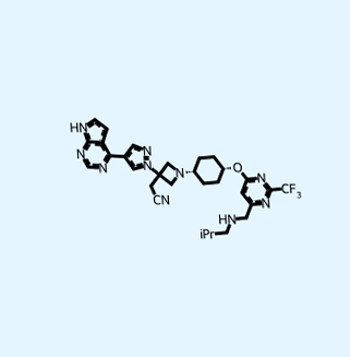 CC(C)CNCc1cc(O[C@H]2CC[C@@H](N3CC(CC#N)(n4cc(-c5ncnc6[nH]ccc56)cn4)C3)CC2)nc(C(F)(F)F)n1